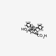 O=C(O)N1CC(CCCO)N(S(=O)(=O)c2ccccc2)C(Cc2ccccc2)C1